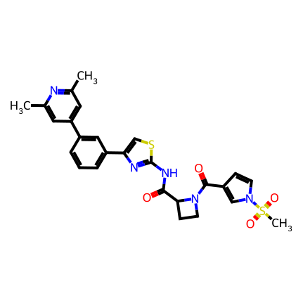 Cc1cc(-c2cccc(-c3csc(NC(=O)C4CCN4C(=O)c4ccn(S(C)(=O)=O)c4)n3)c2)cc(C)n1